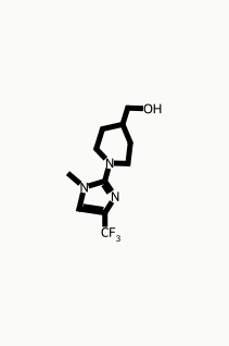 Cn1cc(C(F)(F)F)nc1N1CCC(CO)CC1